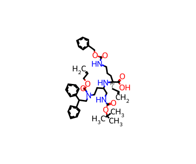 C=CCOC(=O)N(CCC(CNC(=O)OC(C)(C)C)N[C@@](CC=C)(CCCNC(=O)OCc1ccccc1)C(=O)O)CC(c1ccccc1)c1ccccc1